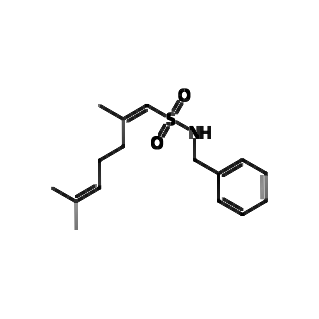 CC(C)=CCCC(C)=CS(=O)(=O)NCc1ccccc1